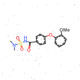 COc1ccccc1Oc1ccc(C(=O)NS(=O)(=O)N(C)C)cc1